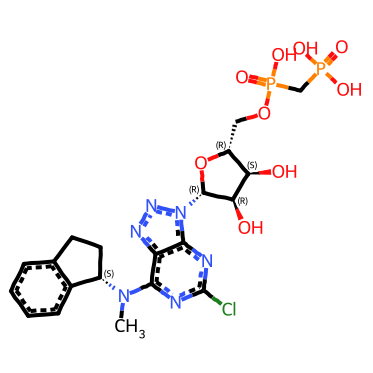 CN(c1nc(Cl)nc2c1nnn2[C@@H]1O[C@H](COP(=O)(O)CP(=O)(O)O)[C@@H](O)[C@H]1O)[C@H]1CCc2ccccc21